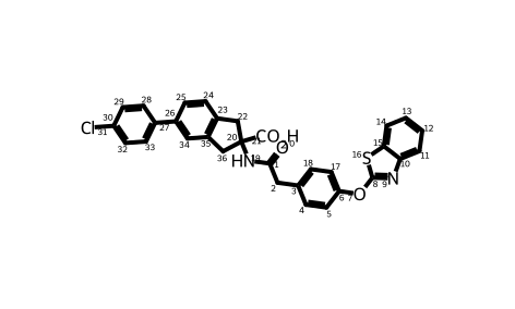 O=C(Cc1ccc(Oc2nc3ccccc3s2)cc1)NC1(C(=O)O)Cc2ccc(-c3ccc(Cl)cc3)cc2C1